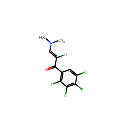 CN(C)C=C(Cl)C(=O)c1cc(Cl)c(F)c(Cl)c1F